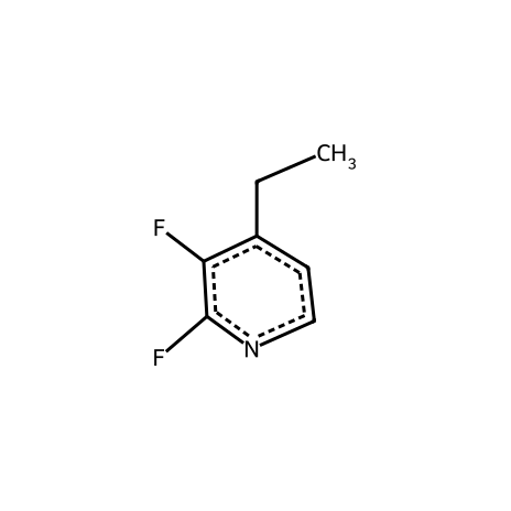 CCc1ccnc(F)c1F